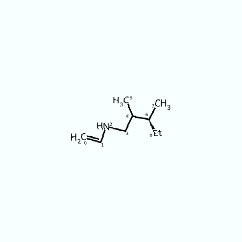 C=CNCC(C)[C@@H](C)CC